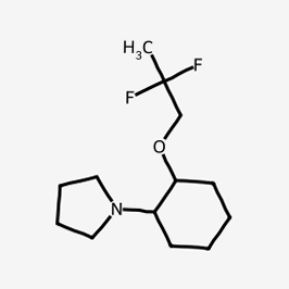 CC(F)(F)COC1CCCCC1N1CCCC1